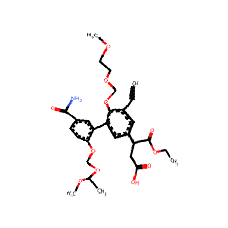 C#Cc1cc(C(CC(=O)O)C(=O)OCC)cc(-c2cc(C(N)=O)ccc2OCOC(C)OC)c1OCOCCOC